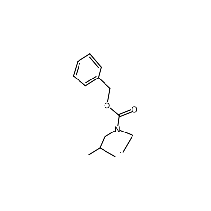 [CH2]CN(CC(C)C)C(=O)OCc1ccccc1